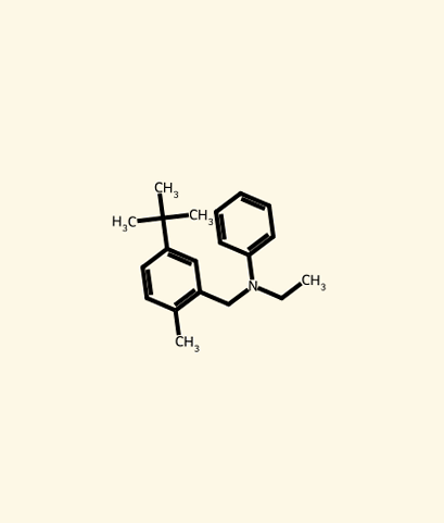 CCN(Cc1cc(C(C)(C)C)ccc1C)c1ccccc1